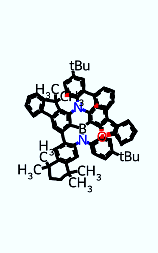 CC(C)(C)c1ccc(N2B3c4c(cc5c(c4N(c4ccc(C(C)(C)C)cc4-c4ccccc4)c4ccc6c(oc7ccccc76)c43)C(C)(C)c3ccccc3-5)-c3cc4c(cc32)C(C)(C)CCC4(C)C)cc1